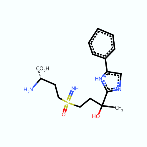 N=S(=O)(CC[C@H](N)C(=O)O)CCC(O)(c1ncc(-c2ccccc2)[nH]1)C(F)(F)F